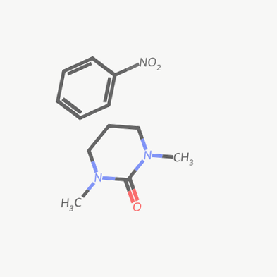 CN1CCCN(C)C1=O.O=[N+]([O-])c1ccccc1